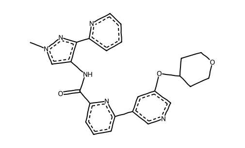 Cn1cc(NC(=O)c2cccc(-c3cncc(OC4CCOCC4)c3)n2)c(-c2ccccn2)n1